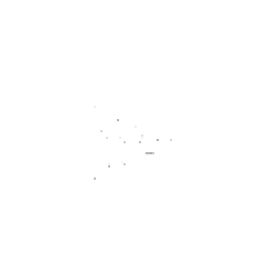 C[Si]1(C)C2=CC(=[N+]3CCOCC3)C=CC2=C(c2cc(C(=O)O)sc2C(=O)O)c2ccc(N3CCOCC3)cc21